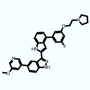 COc1cncc(-c2ccc3[nH]nc(-c4cc5c(-c6cc(F)cc(OCCN7CCCC7)c6)cccc5[nH]4)c3c2)c1